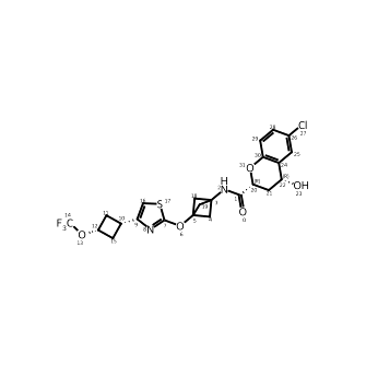 O=C(NC12CC(Oc3nc([C@H]4C[C@@H](OC(F)(F)F)C4)cs3)(C1)C2)[C@H]1C[C@@H](O)c2cc(Cl)ccc2O1